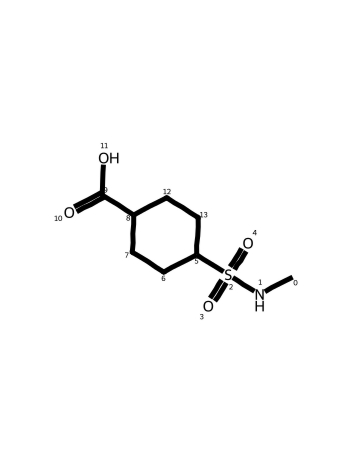 CNS(=O)(=O)C1CCC(C(=O)O)CC1